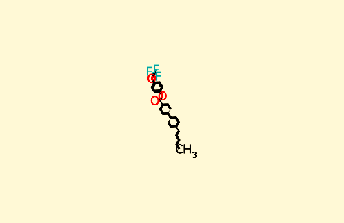 CCCCC[C@H]1CC[C@H]([C@H]2CC[C@H](C(=O)Oc3ccc(OC(F)(F)F)cc3)CC2)CC1